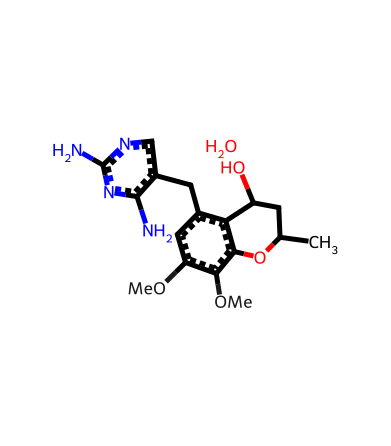 COc1cc(Cc2cnc(N)nc2N)c2c(c1OC)OC(C)CC2O.O